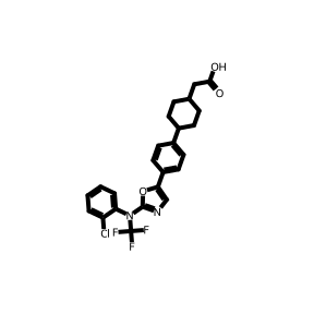 O=C(O)CC1CCC(c2ccc(-c3cnc(N(c4ccccc4Cl)C(F)(F)F)o3)cc2)CC1